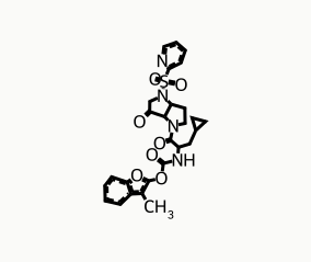 Cc1c(OC(=O)NC(CC2CC2)C(=O)N2CCC3C2C(=O)CN3S(=O)(=O)c2ccccn2)oc2ccccc12